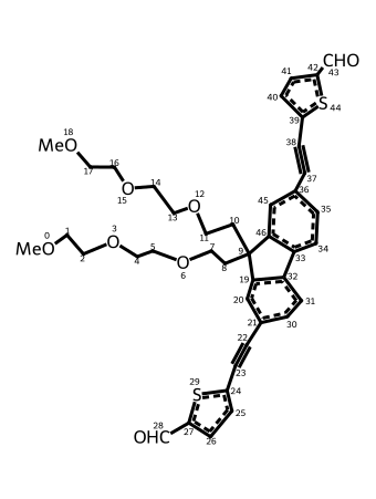 COCCOCCOCCC1(CCOCCOCCOC)c2cc(C#Cc3ccc(C=O)s3)ccc2-c2ccc(C#Cc3ccc(C=O)s3)cc21